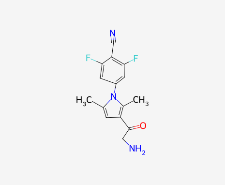 Cc1cc(C(=O)CN)c(C)n1-c1cc(F)c(C#N)c(F)c1